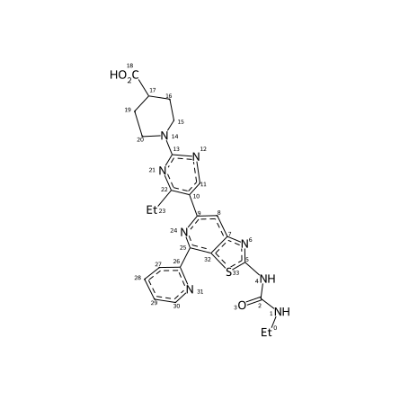 CCNC(=O)Nc1nc2cc(-c3cnc(N4CCC(C(=O)O)CC4)nc3CC)nc(-c3ccccn3)c2s1